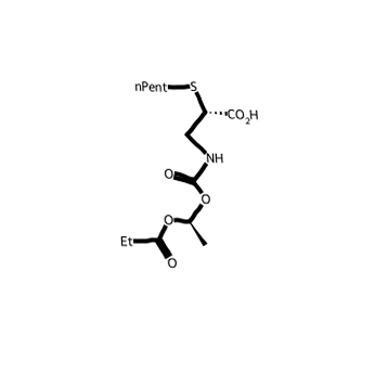 CCCCCS[C@@H](CNC(=O)O[C@@H](C)OC(=O)CC)C(=O)O